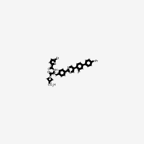 CCCc1ccc(-c2ccc(-c3cnc(-c4ccc(C[C@H](NC(=O)c5ccc(CC)s5)C(=O)N5CC(C(=O)O)C5)cc4)nc3)c(F)c2)cc1